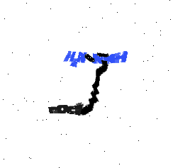 CCCCCCCC/C=C\CCCCCCCCC1NCCN1CCN